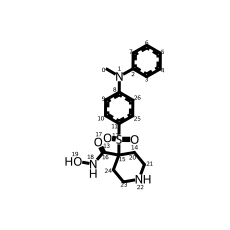 CN(c1ccccc1)c1ccc(S(=O)(=O)C2(C(=O)NO)CCNCC2)cc1